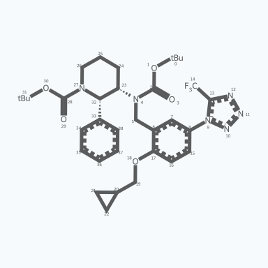 CC(C)(C)OC(=O)N(Cc1cc(-n2nnnc2C(F)(F)F)ccc1OCC1CC1)[C@H]1CCCN(C(=O)OC(C)(C)C)[C@H]1c1ccccc1